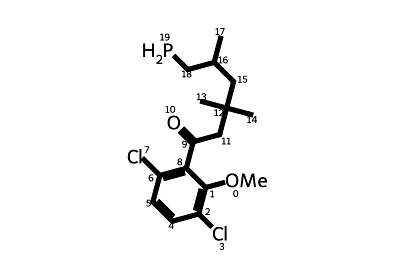 COc1c(Cl)ccc(Cl)c1C(=O)CC(C)(C)CC(C)CP